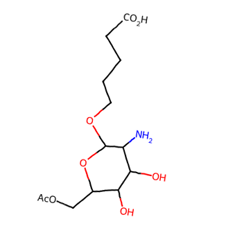 CC(=O)OCC1OC(OCCCCC(=O)O)C(N)C(O)C1O